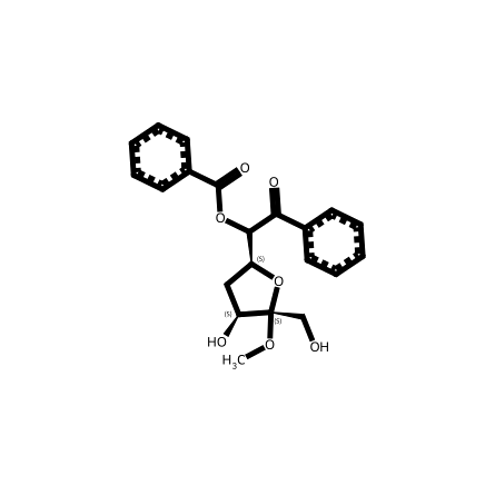 CO[C@@]1(CO)O[C@H](C(OC(=O)c2ccccc2)C(=O)c2ccccc2)C[C@@H]1O